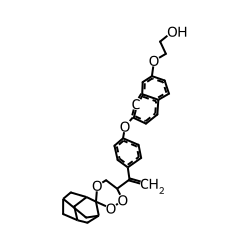 C=C(c1ccc(Oc2ccc3ccc(OCCO)cc3c2)cc1)C1COC2(OO1)C1CC3CC(C1)CC2C3